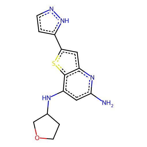 Nc1cc(NC2CCOC2)c2sc(-c3ccn[nH]3)cc2n1